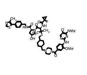 CNc1nc(Nc2ccc(C(=O)N3CCN(CC4CCC(CSC(C)(C)[C@H](NC(=O)C5(F)CC5)C(=O)N5C[C@@H](O)C[C@H]5C(=O)NCc5ccc(-c6scnc6C)cc5)CC4)CC3)cc2OC)ncc1Cl